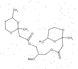 COC(COC(=O)CC1(C)OCCC(C)O1)COC(=O)CC1(C)OCCC(C)O1